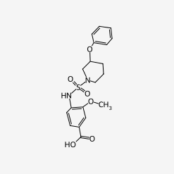 COc1cc(C(=O)O)ccc1NS(=O)(=O)N1CCCC(Oc2ccccc2)C1